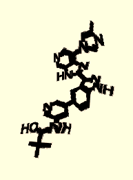 Cc1cn(-c2cncc3[nH]c(-c4n[nH]c5ccc(-c6cncc(NC(O)C(C)(C)C)c6)cc45)nc23)cn1